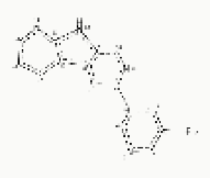 Fc1cncc(-c2cc3c(cn2)[nH]c2ncccc23)c1